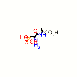 C[C@H](NC(=O)C(N)CP(=O)(O)O)C(=O)O